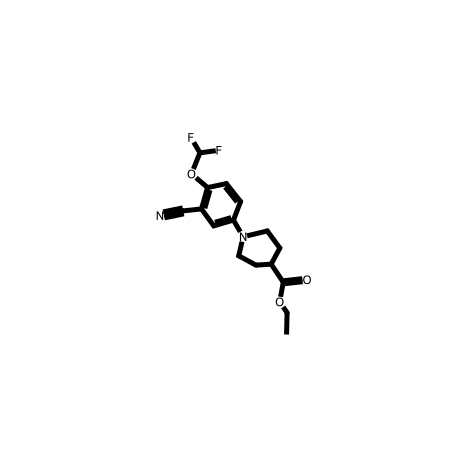 CCOC(=O)C1CCN(c2ccc(OC(F)F)c(C#N)c2)CC1